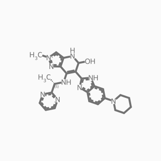 C[C@H](NC1=C(c2nc3ccc(N4CCCCC4)cc3[nH]2)C(O)Nc2cn(C)nc21)c1ncccn1